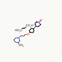 CC1CCCN(CCCOc2ccc(-c3cc[n+]([O-])cc3)cc2)C1.O=C(O)/C=C/C(=O)O